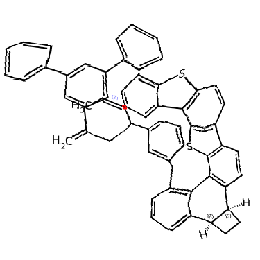 C=C(CC(/C=C\C)c1cccc(-c2cccc3c2-c2c(ccc4c2sc2c4ccc4sc5ccccc5c42)[C@H]2CC[C@@H]32)c1)c1cc(-c2ccccc2)cc(-c2ccccc2)c1